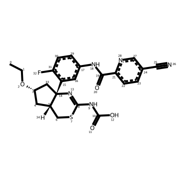 CCO[C@H]1C[C@H]2CSC(NC(=O)O)=N[C@@]2(c2cc(NC(=O)c3ccc(C#N)cn3)ccc2F)C1